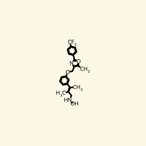 C/C(CNO)=C(/C)c1cccc(OCc2nc(-c3ccc(C(F)(F)F)cc3)oc2C)c1